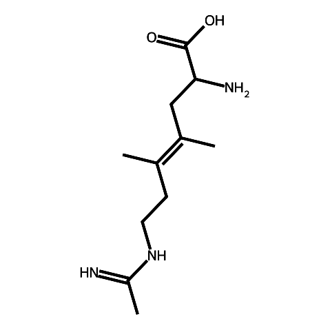 CC(=N)NCC/C(C)=C(\C)CC(N)C(=O)O